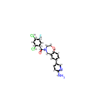 Nc1ccc(-c2ccc3c(c2)CN(C(=O)c2cc(F)c(Cl)cc2Cl)CCO3)cn1